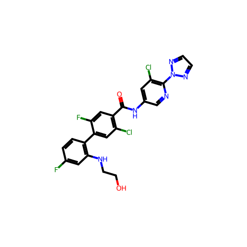 O=C(Nc1cnc(-n2nccn2)c(Cl)c1)c1cc(F)c(-c2ccc(F)cc2NCCO)cc1Cl